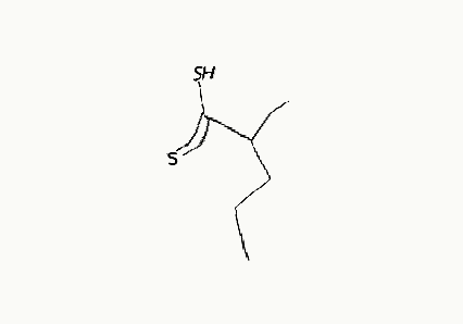 CCCC(C)C(=S)S